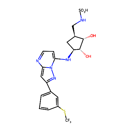 O=S(=O)(O)NC[C@@H]1C[C@H](Nc2ccnc3cc(-c4cccc(SC(F)(F)F)c4)nn23)[C@@H](O)[C@H]1O